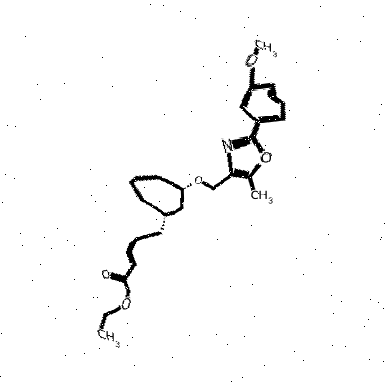 CCOC(=O)C=CC[C@@H]1CCC[C@H](OCc2nc(-c3cccc(OC)c3)oc2C)C1